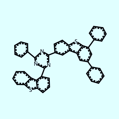 c1ccc(-c2cc(-c3ccccc3)c3sc4ccc(-c5nc(-c6ccccc6)nc(-c6cccc7sc8ccccc8c67)n5)cc4c3c2)cc1